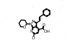 O=C(O)c1cc(Cl)nc2c1c(/C=C/c1ccccc1)nn2C1CCCCO1